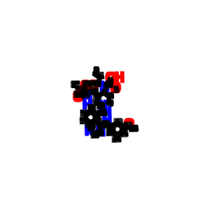 C=CCN(C(=O)O)[C@@H]1CCN(Cc2cccc3ncnc(Nc4cccc(OC)c4)c23)C[C@@H]1C(=O)NS(C)(=O)=O